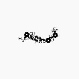 Cc1cccc(C)c1NC(=O)CN1CCN(CC(O)COc2ccc3oc(-c4cccc(C(F)(F)F)c4)nc3c2)CC1